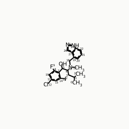 CC(C)CC(C(O)c1c(F)cc(Cl)cc1F)N(C)Cc1cccc2[nH]ncc12